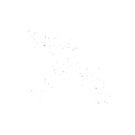 CC(=O)N[C@H]1[C@H](O[C@H]2[C@@H](O)[C@@H](CO)O[C@@H](O[C@H]3[C@H](O)[C@@H](O)[C@H](O)O[C@@H]3CO)[C@@H]2O)O[C@H](CO)[C@@H](O[C@@H]2O[C@H](CO[C@@H]3O[C@H](CO)[C@@H](O[C@@H]4O[C@H](CO)[C@H](O)[C@H](O)[C@H]4O[C@@H]4O[C@@H](C)[C@@H](O)[C@@H](O)[C@@H]4O)[C@H](O)[C@H]3NC(C)=O)[C@H](O)[C@H](O[C@H]3O[C@H](CO)[C@@H](O[C@@H]4O[C@H](CO)[C@H](O)[C@H](O[C@]5(C(=O)O)C[C@H](O)[C@@H](NC(C)=O)[C@H]([C@H](O)[C@H](O)CO)O5)[C@H]4O)[C@H](O)[C@H]3NC(C)=O)[C@H]2O)[C@@H]1O